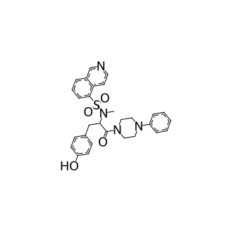 CN(C(Cc1ccc(O)cc1)C(=O)N1CCN(c2ccccc2)CC1)S(=O)(=O)c1cccc2cnccc12